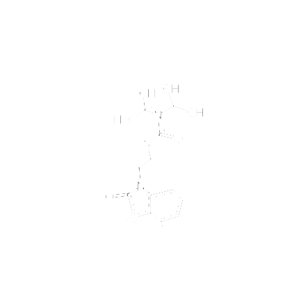 CC(C)N(C(=O)SCCn1c(=O)sc2ccccc21)C(C)C